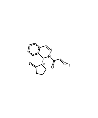 C=CC(=O)N1N=Cc2ccccc2C1[C@@H]1CCCC1=O